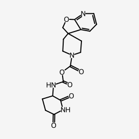 O=C1CCC(NC(=O)OC(=O)N2CCC3(CC2)COc2ncccc23)C(=O)N1